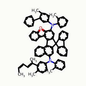 C/C=C\C=C(/C)c1cc(N(c2ccccc2C)c2cc3c(c4ccccc24)-c2c(cc(N(c4ccc(C)c(-c5ccccc5)c4)c4ccccc4C)c4oc5ccccc5c24)C32c3ccccc3-c3ccccc32)ccc1C